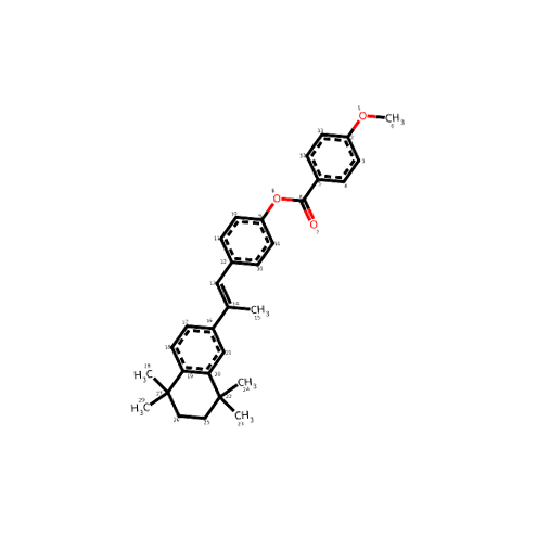 COc1ccc(C(=O)Oc2ccc(/C=C(\C)c3ccc4c(c3)C(C)(C)CCC4(C)C)cc2)cc1